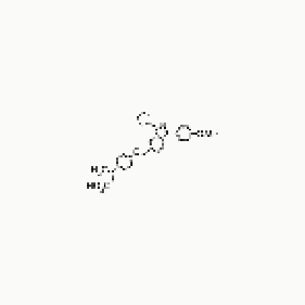 COc1ccc(-c2nn(C3CCCC3)c3cc(COc4ccc([C@H](C)CC(=O)O)cc4)ccc23)cc1